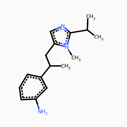 CC(C)c1ncc(CC(C)c2cccc(N)c2)n1C